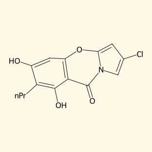 CCCc1c(O)cc2oc3cc(Cl)cn3c(=O)c2c1O